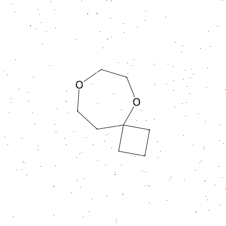 C1CC2(C1)CCOCCO2